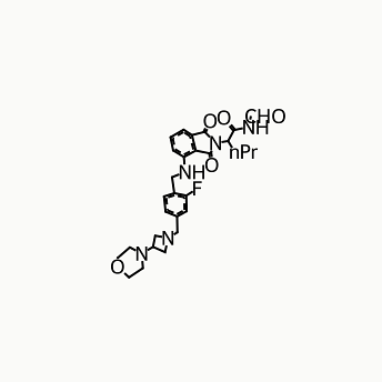 CCCC(C(=O)NC=O)N1C(=O)c2cccc(NCc3ccc(CN4CC(N5CCOCC5)C4)cc3F)c2C1=O